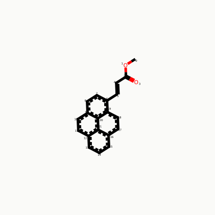 COC(=O)C=Cc1ccc2ccc3cccc4ccc1c2c34